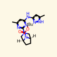 Cc1cc(Nc2cc(C)[nH]n2)nc(N2C[C@H]3CC[C@@H](C2)N3C(=O)OC(C)(C)C)n1